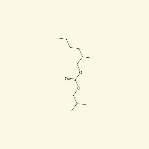 CCCCC(C)COC(=O)OCC(C)C